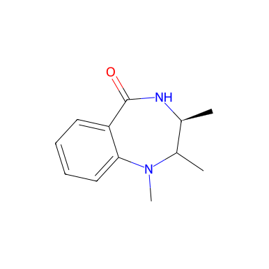 CC1[C@H](C)NC(=O)c2ccccc2N1C